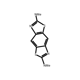 CNc1nc2cc3sc(NC)nc3cc2s1